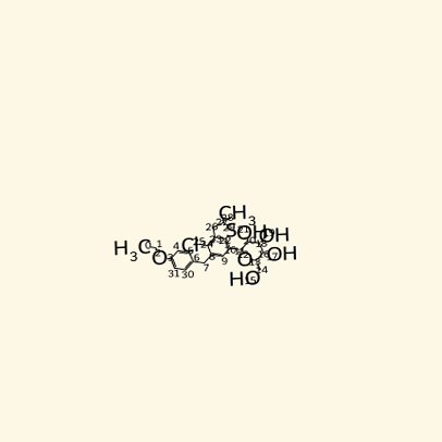 CCOc1ccc(Cc2cc([C@@H]3O[C@H](CO)[C@@H](O)[C@H](O)[C@H]3O)c3c(c2Cl)CC(C)S3)cc1